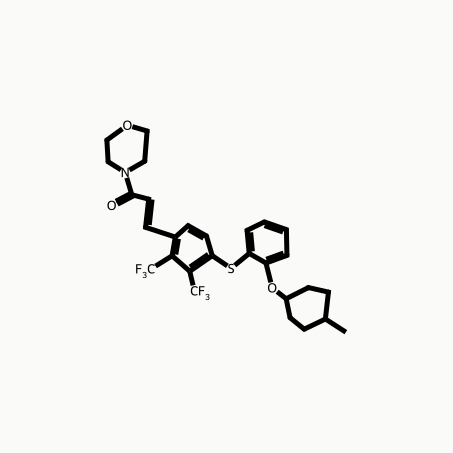 CC1CCC(Oc2ccccc2Sc2ccc(C=CC(=O)N3CCOCC3)c(C(F)(F)F)c2C(F)(F)F)CC1